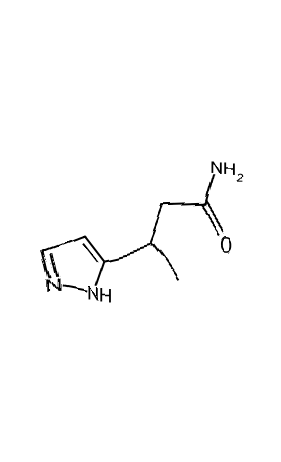 CC(CC(N)=O)c1ccn[nH]1